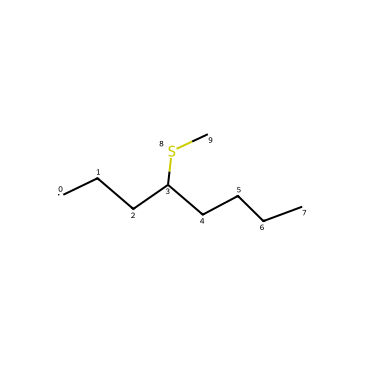 [CH2]CCC(CCCC)SC